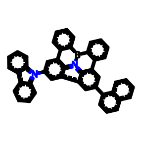 c1ccc2c(c1)B1c3ccccc3-c3cc(-n4c5ccccc5c5ccccc54)cc4c5cc(-c6cccc7ccccc67)cc-2c5n1c34